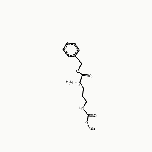 CC(C)(C)OC(=O)NCCC[C@H](N)C(=O)OCc1ccccc1